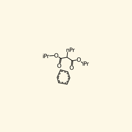 CCCC(C(=O)OC(C)C)C(=O)OC(C)C.c1ccccc1